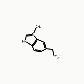 CCOC(=O)Cc1ccc2[nH]c[n+](C)c2c1